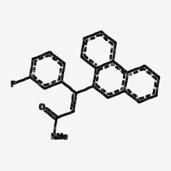 CNC(=O)C=C(c1cccc(F)c1)c1cc2ccccc2c2ccccc12